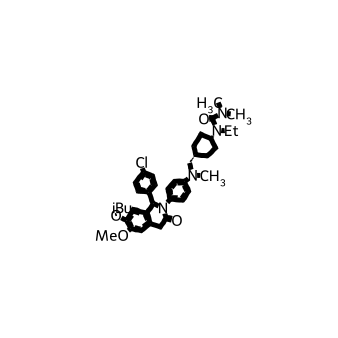 CC[C@@H](C)Oc1cc2c(cc1OC)CC(=O)N(c1ccc(N(C)C[C@H]3CC[C@H](N(CC)C(=O)N(C)C)CC3)cc1)C2c1ccc(Cl)cc1